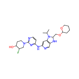 CC(C)N1c2cc(Nc3ccnc(N4CCC(O)C(F)C4)n3)ncc2NC1COC1CCCCO1